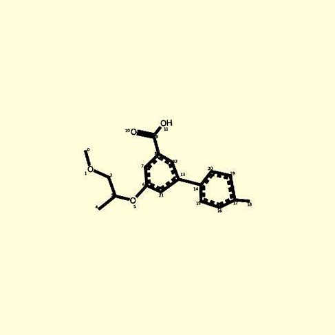 COCC(C)Oc1cc(C(=O)O)cc(-c2ccc(C)cc2)c1